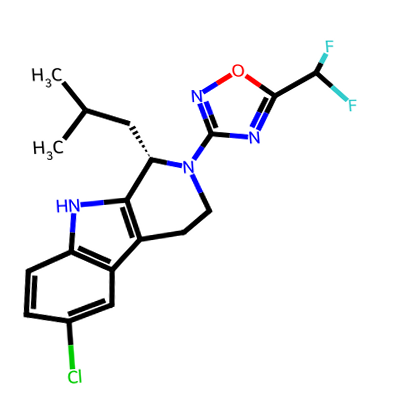 CC(C)C[C@H]1c2[nH]c3ccc(Cl)cc3c2CCN1c1noc(C(F)F)n1